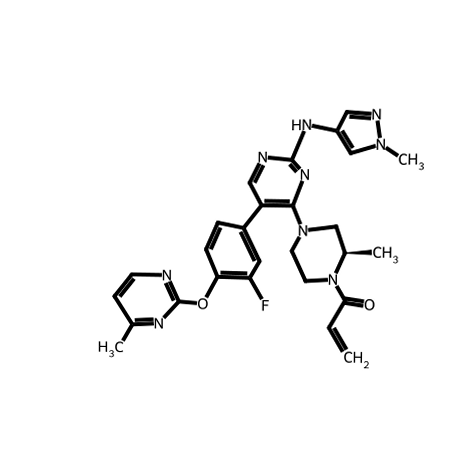 C=CC(=O)N1CCN(c2nc(Nc3cnn(C)c3)ncc2-c2ccc(Oc3nccc(C)n3)c(F)c2)C[C@H]1C